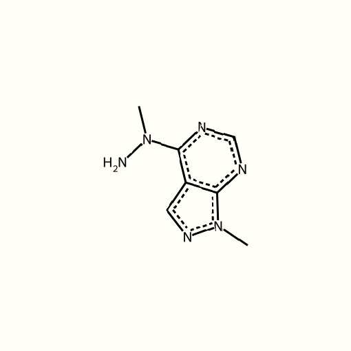 CN(N)c1ncnc2c1cnn2C